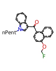 CCCCCn1cc(C(=O)c2ccc(OCF)c3ccccc23)c2ccccc21